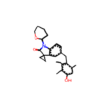 Cc1cc(O)c(C)c(C)c1Cc1ccc2c(c1)C1(CC1)C(=O)N2C1CCCCO1